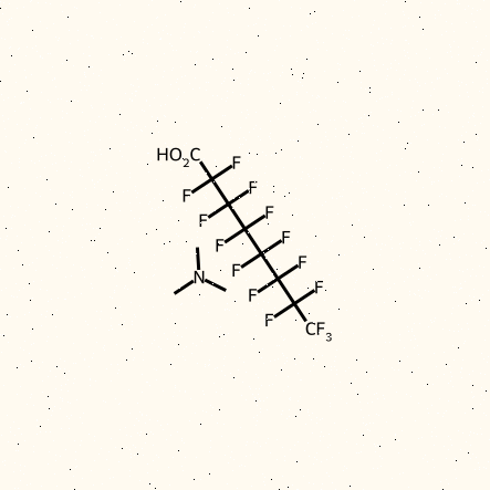 CN(C)C.O=C(O)C(F)(F)C(F)(F)C(F)(F)C(F)(F)C(F)(F)C(F)(F)C(F)(F)F